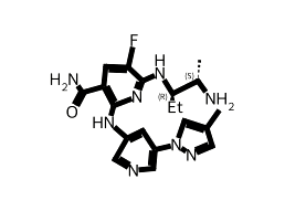 CC[C@@H](Nc1nc(Nc2cncc(-n3cc(C)cn3)c2)c(C(N)=O)cc1F)[C@H](C)N